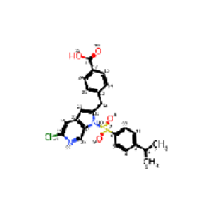 CC(C)c1ccc(S(=O)(=O)n2c(Cc3ccc(C(=O)O)cc3)cc3cc(Cl)ncc32)cc1